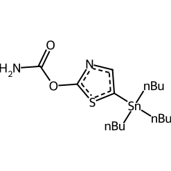 CCC[CH2][Sn]([CH2]CCC)([CH2]CCC)[c]1cnc(OC(N)=O)s1